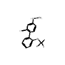 CNc1ccc(-c2ccccc2OC(F)(F)F)c(Cl)c1